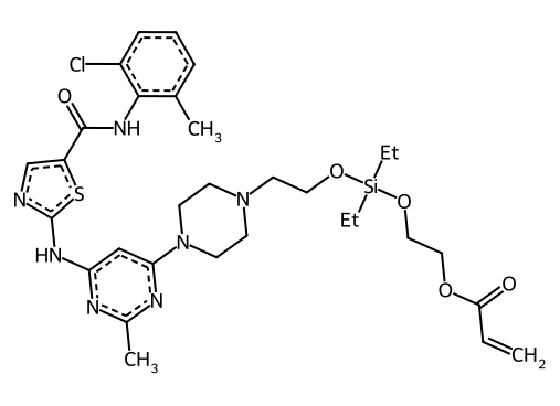 C=CC(=O)OCCO[Si](CC)(CC)OCCN1CCN(c2cc(Nc3ncc(C(=O)Nc4c(C)cccc4Cl)s3)nc(C)n2)CC1